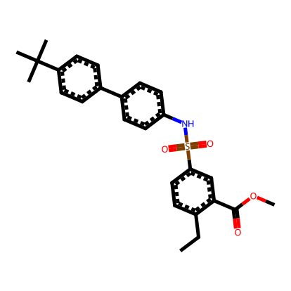 CCc1ccc(S(=O)(=O)Nc2ccc(-c3ccc(C(C)(C)C)cc3)cc2)cc1C(=O)OC